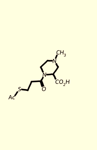 CC(=O)SCCC(=O)N1CCN(C)CC1C(=O)O